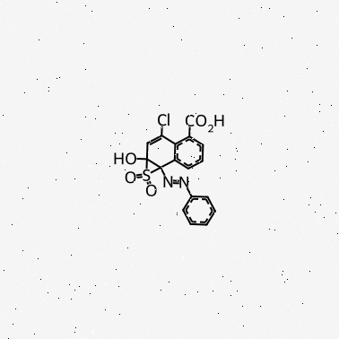 O=C(O)c1cccc2c1C(Cl)=CC1(O)C2(N=Nc2ccccc2)S1(=O)=O